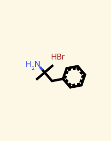 Br.CC(C)(N)Cc1ccccc1